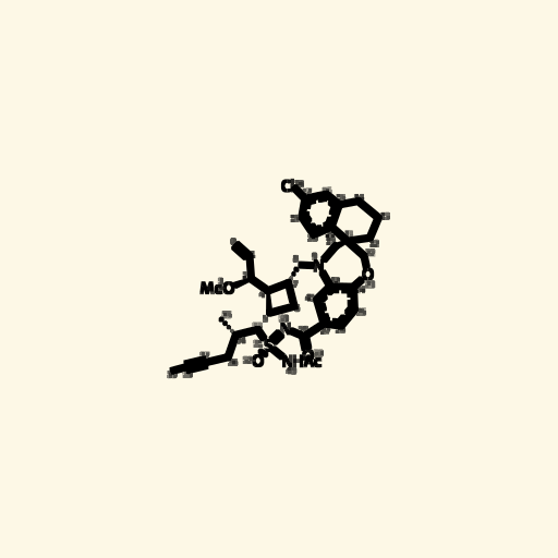 C=C[C@H](OC)[C@@H]1CC[C@H]1CN1C[C@@]2(CCCc3cc(Cl)ccc32)COc2ccc(C(=O)N=S(=O)(C[C@@H](C)CC#CC)NC(C)=O)cc21